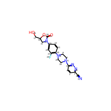 N#Cc1ccc(N2CCN(c3ccc(N4CC(CO)OC4=O)cc3F)CC2)nn1